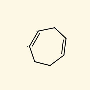 [C]1=[C]CCC=CC1